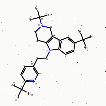 [2H]C([2H])([2H])c1ccc2c(c1)c1c(n2CCc2ccc(C([2H])([2H])[2H])nc2)CCN(C([2H])([2H])[2H])C1